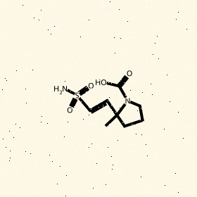 CC1(C=CS(N)(=O)=O)CCCN1C(=O)O